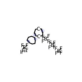 C1=C\CC/C=C\CC/1.C1=C\CC/C=C\CC/1.F[B-](F)(F)F.F[B-](F)(F)F.F[B-](F)(F)F.F[B-](F)(F)F.[Ir+4]